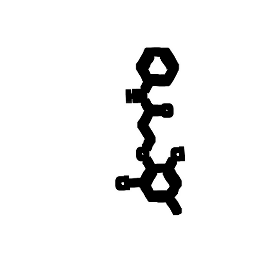 Cc1cc(Cl)c(OCCC(=O)Nc2ccccc2)c(Cl)c1